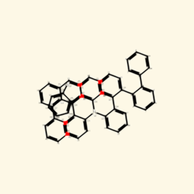 c1ccc(-c2ccccc2-c2ccccc2-c2ccccc2N(c2ccccc2-c2cccc3cccc(-c4ccccc4)c23)c2cccc3oc4ccccc4c23)cc1